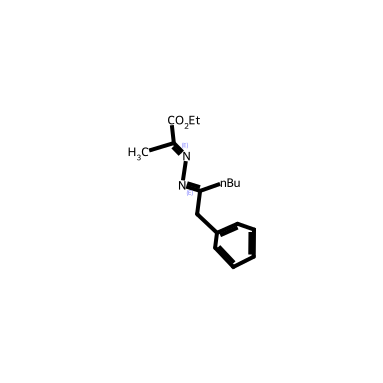 CCCC/C(Cc1ccccc1)=N\N=C(/C)C(=O)OCC